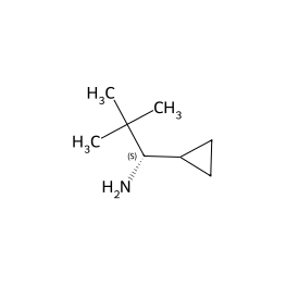 CC(C)(C)[C@@H](N)C1CC1